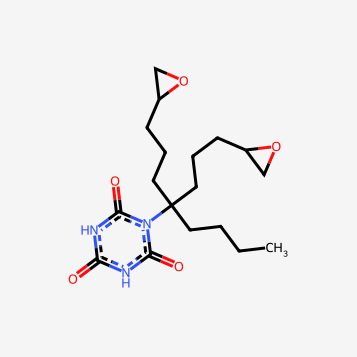 CCCCC(CCCC1CO1)(CCCC1CO1)n1c(=O)[nH]c(=O)[nH]c1=O